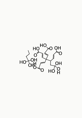 CCCC(O)(O)O.O=C(O)C=CC(CC(O)(O)O)C(C=CC(=O)O)(C=CC(=O)O)C=CC(=O)O